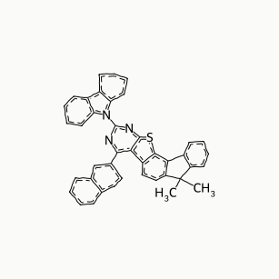 CC1(C)c2ccccc2-c2c1ccc1c2sc2nc(-n3c4ccccc4c4ccccc43)nc(-c3ccc4ccccc4c3)c21